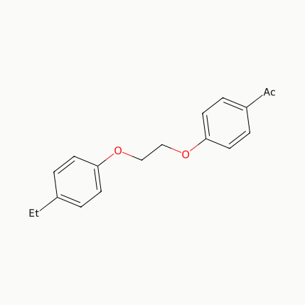 CCc1ccc(OCCOc2ccc(C(C)=O)cc2)cc1